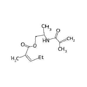 C=C(C)C(=O)NC(C)COC(=O)C(C)=CCC